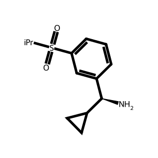 CC(C)S(=O)(=O)c1cccc([C@@H](N)C2CC2)c1